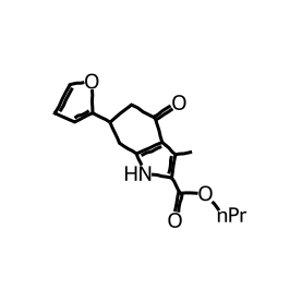 CCCOC(=O)c1[nH]c2c(c1C)C(=O)CC(c1ccco1)C2